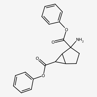 NC1(C(=O)Oc2ccccc2)CCC2C(C(=O)Oc3ccccc3)C21